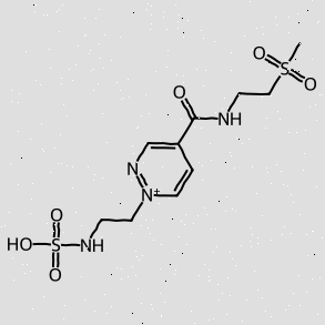 CS(=O)(=O)CCNC(=O)c1cc[n+](CCNS(=O)(=O)O)nc1